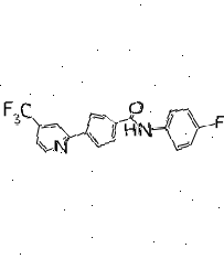 O=C(Nc1ccc(F)cc1)c1ccc(-c2cc(C(F)(F)F)ccn2)cc1